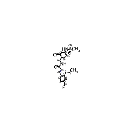 CCCc1nc(CF)ccc1/C=C/C(=O)NCc1ccc(NS(C)(=O)=O)cc1Cl